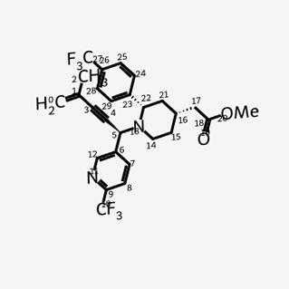 C=C(C)C#C[C@H](c1ccc(C(F)(F)F)nc1)N1CC[C@@H](CC(=O)OC)C[C@H]1c1ccc(C(F)(F)F)cc1